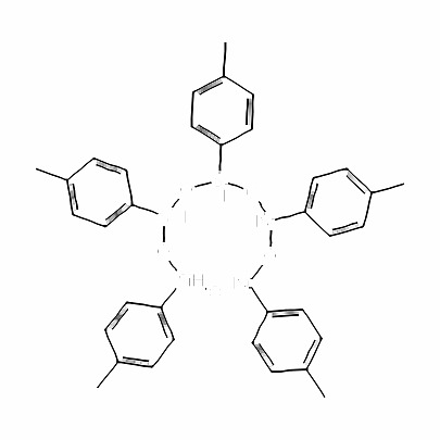 Cc1ccc([SiH]2O[SiH](c3ccc(C)cc3)O[SiH](c3ccc(C)cc3)O[SiH](c3ccc(C)cc3)O[SiH](c3ccc(C)cc3)O2)cc1